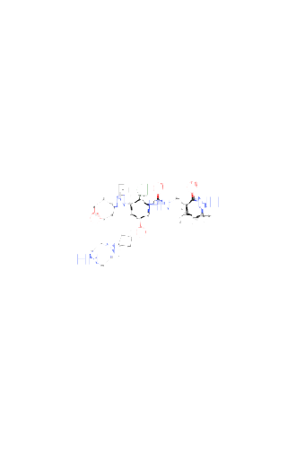 CCN(c1cc(O[C@H]2C[C@@H](N3CCNCC3)C2)cc(C(=O)NCc2c(C)cc(C)[nH]c2=O)c1Cl)C1CCOCC1